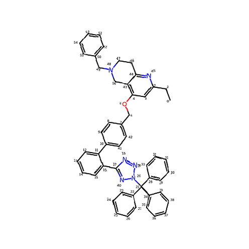 CCc1cc(OCc2ccc(-c3ccccc3-c3nnn(C(c4ccccc4)(c4ccccc4)c4ccccc4)n3)cc2)c2c(n1)CCN(Cc1ccccc1)C2